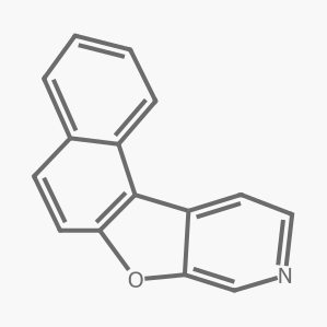 c1ccc2c(c1)ccc1oc3cnccc3c12